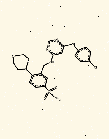 NS(=O)(=O)c1ccc(N2CCOCC2)c(CNc2cc(Nc3ccc(Cl)cc3)ncn2)c1